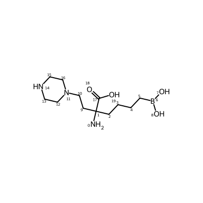 NC(CCCCB(O)O)(CCN1CCNCC1)C(=O)O